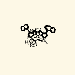 CCCCCC.C[CH2][Zr]([SiH3])([CH]1C(C)=Cc2c(-c3cccc4ccccc34)cccc21)[CH]1C(C)=Cc2c(-c3cccc4ccccc34)cccc21.Cl.Cl